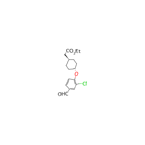 CCOC(=O)C[C@H]1CC[C@H](Oc2ccc(C=O)cc2Cl)CC1